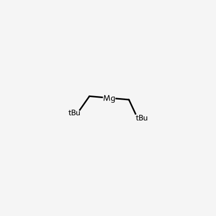 CC(C)(C)[CH2][Mg][CH2]C(C)(C)C